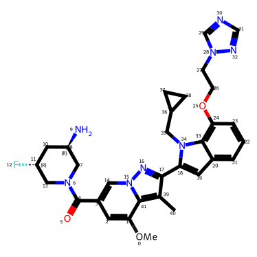 COc1cc(C(=O)N2C[C@H](N)C[C@@H](F)C2)cn2nc(-c3cc4cccc(OCCn5cncn5)c4n3CC3CC3)c(C)c12